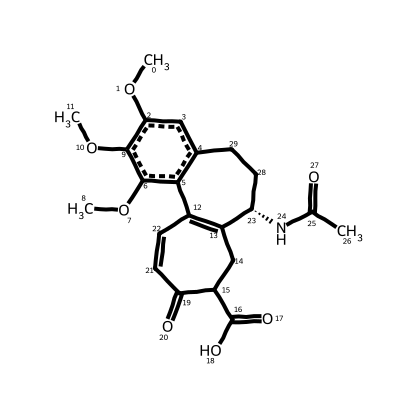 COc1cc2c(c(OC)c1OC)C1=C(CC(C(=O)O)C(=O)C=C1)[C@@H](NC(C)=O)CC2